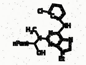 CCCCCC(O)N(C)c1nc(Nc2cccc(Cl)c2)c2ncn(CC)c2n1